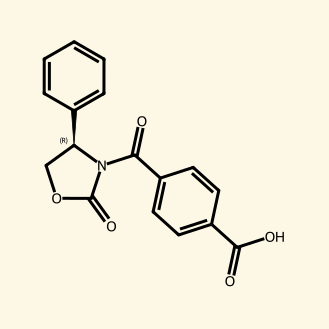 O=C(O)c1ccc(C(=O)N2C(=O)OC[C@H]2c2ccccc2)cc1